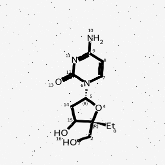 CC[C@]1(CO)O[C@@H](n2ccc(N)nc2=O)CC1O